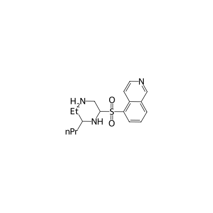 CCCC(CC)NC(CN)S(=O)(=O)c1cccc2cnccc12